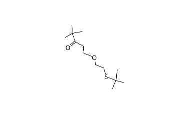 CC(C)(C)SCCOCCC(=O)C(C)(C)C